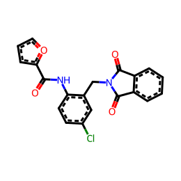 O=C(Nc1ccc(Cl)cc1CN1C(=O)c2ccccc2C1=O)c1ccco1